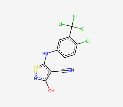 N#Cc1c(O)nsc1Nc1ccc(Cl)c(C(Cl)(Cl)Cl)c1